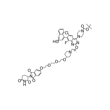 C[C@H](CN1CCC(OCCOCCOCCOc2ccc3c(c2)C(=O)N(C2CCC(=O)NC2=O)C3=O)CC1)Oc1nc(N2CCN(C(=O)OC(C)(C)C)CC2)c2cc(Cl)c(-c3cc(O)cc4ccccc34)c(F)c2n1